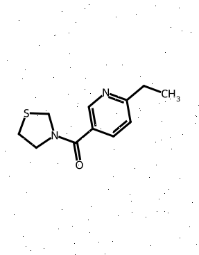 CCc1ccc(C(=O)N2CCSC2)cn1